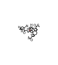 C[C@H](CC1(c2nn[nH]n2)c2sc(C(=O)N(C)C)cc2CCc2cc(C(=O)N(C)C)sc21)NCC(=O)N1[C@H](C#N)C[C@@H]2C[C@@H]21